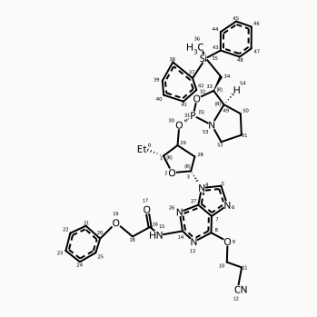 CC[C@H]1O[C@@H](n2cnc3c(OCCC#N)nc(NC(=O)COc4ccccc4)nc32)CC1O[P@]1O[C@@H](C[Si](C)(c2ccccc2)c2ccccc2)[C@H]2CCCN21